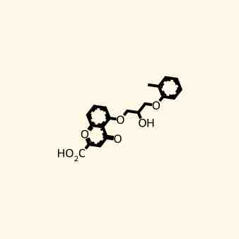 Cc1ccccc1OCC(O)COc1cccc2oc(C(=O)O)cc(=O)c12